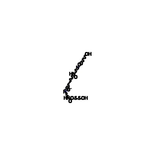 O=C(NCSC/N=C\[S+]([O-])CSCCSCSC(=O)NCSC/N=C/OOCSCSCO)OCSCSCO